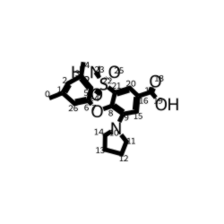 Cc1cc(C)cc(Oc2c(N3CCCC3)cc(C(=O)O)cc2S(N)(=O)=O)c1